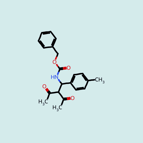 CC(=O)C(C(C)=O)C(NC(=O)OCc1ccccc1)c1ccc(C)cc1